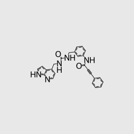 O=C(C#Cc1ccccc1)Nc1cccc(CNC(=O)NCc2ccnc3[nH]ccc23)c1